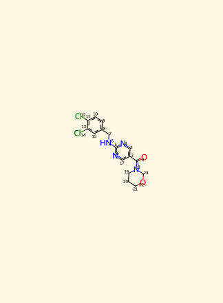 O=C(c1cnc(NCc2ccc(Cl)c(Cl)c2)nc1)N1CCCOC1